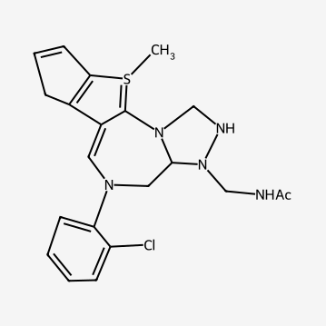 CC(=O)NCN1NCN2C3=S(C)C4=C(CC=C4)C3=CN(c3ccccc3Cl)CC12